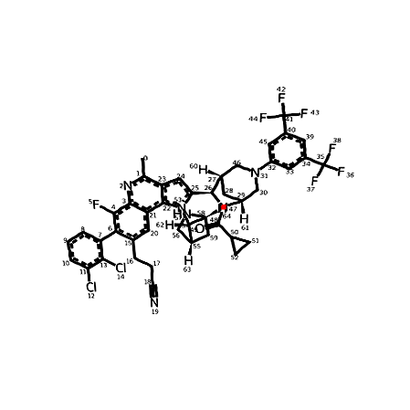 Cc1nc2c(F)c(-c3cccc(Cl)c3Cl)c(CCC#N)cc2c2c1cc([C@H]1[C@H]3C[C@H](CN(c4cc(C(F)(F)F)cc(C(F)(F)F)c4)C3)N1C(=O)C1CC1)n2[C@H]1[C@H]2CN[C@@H]1C2